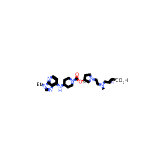 CCn1cnc2c(NC3CCN(C(=O)O[C@H]4CCN(CCN(C)C/C=C/C(=O)O)C4)CC3)ccnc21